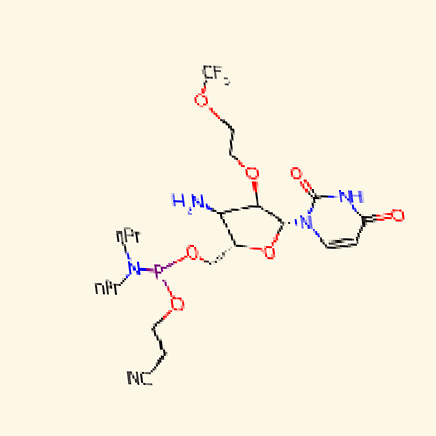 CCCN(CCC)P(OCCC#N)OC[C@H]1O[C@@H](n2ccc(=O)[nH]c2=O)[C@H](OCCOC(F)(F)F)[C@@H]1N